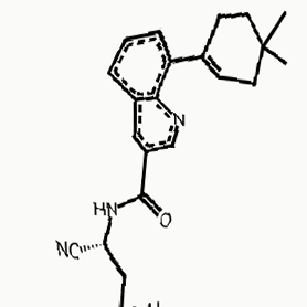 CC1(C)CC=C(c2cccc3cc(C(=O)N[C@@H](C#N)CC(=O)O)cnc23)CC1